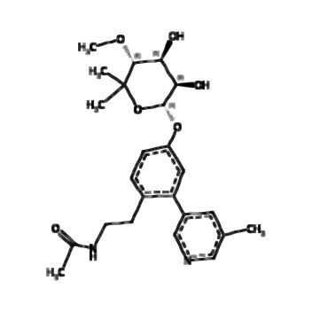 CO[C@@H]1[C@@H](O)[C@@H](O)[C@H](Oc2ccc(CCNC(C)=O)c(-c3cncc(C)c3)c2)OC1(C)C